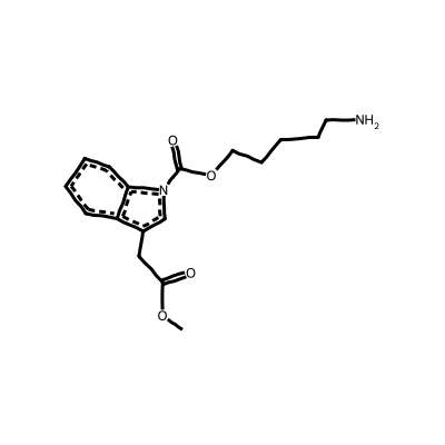 COC(=O)Cc1cn(C(=O)OCCCCCN)c2ccccc12